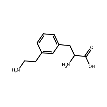 NCCc1cccc(CC(N)C(=O)O)c1